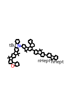 CCCCCCCC1(CCCCCCC)c2ccccc2-c2ccc(-c3ccc4c(c3)C(C)(C)c3cc(-c5cc6c(c7c5CCc5ccccc5-7)-c5ccc(N(c7ccc8c(c7)C(C)(C)c7cc9c(cc7-8)C(C)(C)c7ccc8oc%10ccccc%10c8c7-9)c7ccccc7C(C)(C)C)cc5C6(C)C)ccc3-4)cc21